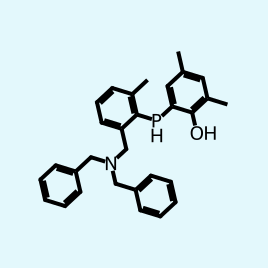 Cc1cc(C)c(O)c(Pc2c(C)cccc2CN(Cc2ccccc2)Cc2ccccc2)c1